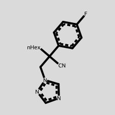 CCCCCCC(C#N)(Cn1cncn1)c1ccc(F)cc1